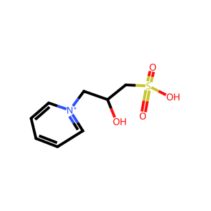 O=S(=O)(O)CC(O)C[n+]1ccccc1